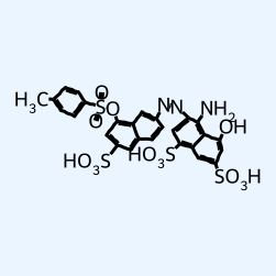 Cc1ccc(S(=O)(=O)Oc2cc(S(=O)(=O)O)cc3ccc(/N=N\c4cc(S(=O)(=O)O)c5cc(S(=O)(=O)O)cc(O)c5c4N)cc23)cc1